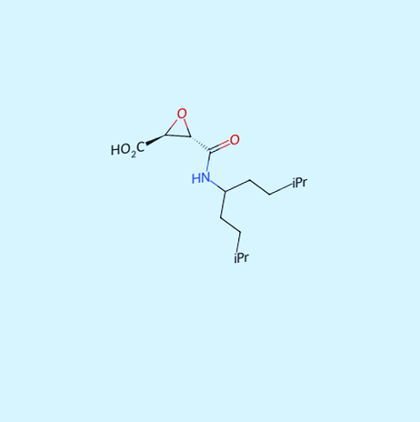 CC(C)CCC(CCC(C)C)NC(=O)[C@H]1O[C@@H]1C(=O)O